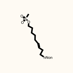 CCCCCCCCCCCC=CCCCCCOS(C)(=O)=O